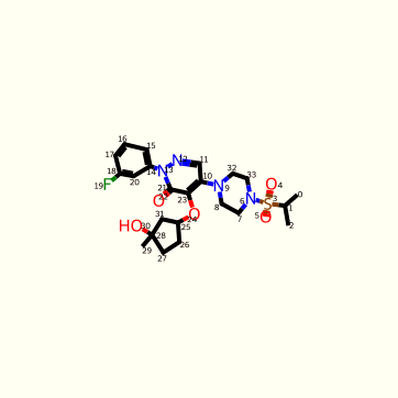 CC(C)S(=O)(=O)N1CCN(c2cnn(-c3cccc(F)c3)c(=O)c2OC2CCC(C)(O)C2)CC1